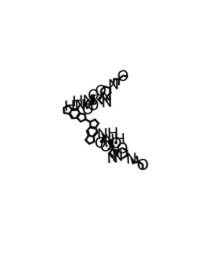 COC1CN([C@@H]2COc3c(S(=O)(=O)NC(=O)Nc4c5c(cc6c4CC(C4CCc7c4cc4c(c7NC(=O)NS(=O)(=O)c7cnn8c7OC[C@H](N7CC(OC)C7)C8)CCC4)C6)CCC5)cnn3C2)C1